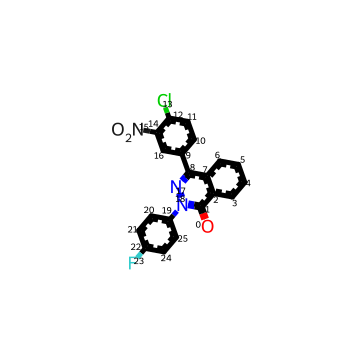 O=c1c2ccccc2c(-c2ccc(Cl)c([N+](=O)[O-])c2)nn1-c1ccc(F)cc1